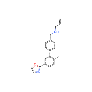 C=CCNCc1ccc(-c2cc(-c3ncco3)ccc2C)cc1